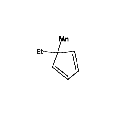 CC[C]1([Mn])C=CC=C1